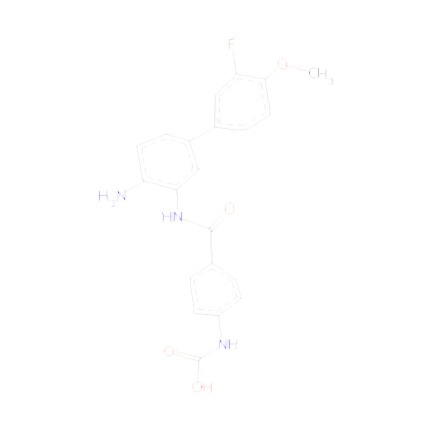 COc1ccc(-c2ccc(N)c(NC(=O)c3ccc(NC(=O)O)cc3)c2)cc1F